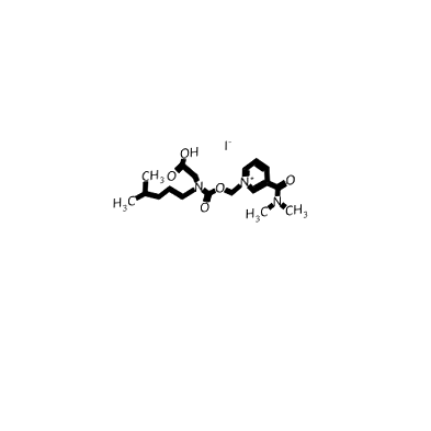 CC(C)CCCN(CC(=O)O)C(=O)OC[n+]1cccc(C(=O)N(C)C)c1.[I-]